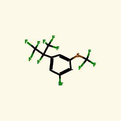 FC(F)(F)Sc1[c]c(Br)cc(C(F)(C(F)(F)F)C(F)(F)F)c1